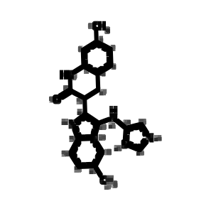 Cc1ccc2c(c1)NC(=O)C(c1nc3ccc(C)cn3c1Nc1cncs1)C2